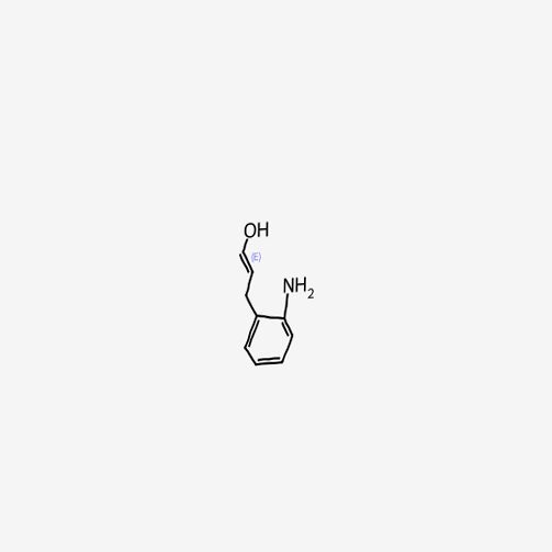 Nc1ccccc1C/C=C/O